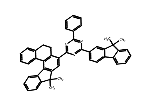 CC1(C)c2ccccc2-c2ccc(-c3nc(-c4ccccc4)nc(-c4cc5c(c6c4CCc4ccccc4-6)-c4ccccc4C5(C)C)n3)cc21